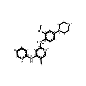 COc1cc(N2CCOCC2)ccc1Nc1cc(Nc2ccccn2)c(C)cn1